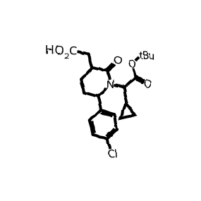 CC(C)(C)OC(=O)C(C1CC1)N1C(=O)C(CC(=O)O)CCC1c1ccc(Cl)cc1